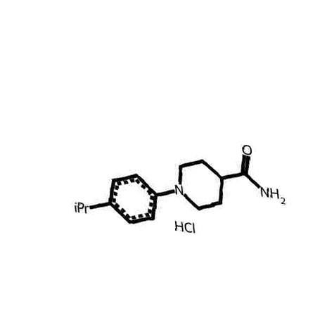 CC(C)c1ccc(N2CCC(C(N)=O)CC2)cc1.Cl